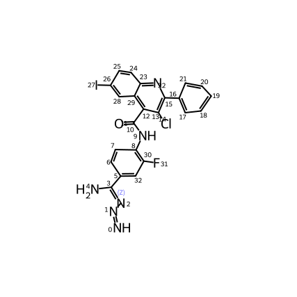 N=N/N=C(\N)c1ccc(NC(=O)c2c(Cl)c(-c3ccccc3)nc3ccc(I)cc23)c(F)c1